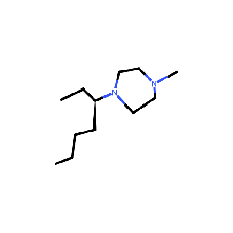 CCCC[C@@H](CC)N1CCN(C)CC1